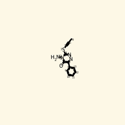 CC#CSc1nnc(-c2ccccc2)c(=O)n1N